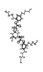 CCCCCc1ccc(OC(=O)NCC2(C)CC(NC(=O)Oc3ccc(CCCCC)cc3CCCCC)CC(C)(C)C2)c(CCCCC)c1